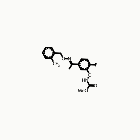 COC(=O)NOc1cc(/C(C)=N/OCc2ccccc2C(F)(F)F)ccc1F